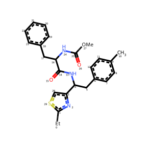 CCc1nc(C(Cc2ccc(C)cc2)NC(=O)C(Cc2ccccc2)NC(=O)OC)cs1